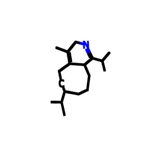 CC1=C2CCC(C(C)C)CCCC2C(C(C)C)=NC1